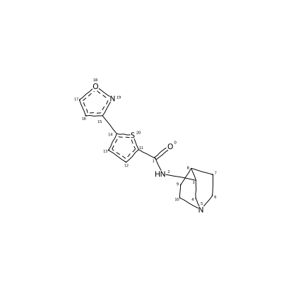 O=C(NC1CN2CCC1CC2)c1ccc(-c2ccon2)s1